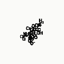 CCCCC(CCCC)(C(=O)O)C(SCC(NC(=O)CCC(N)C(=O)[O-])C(=O)NCC(=O)[O-])C(=O)O.[Ca+2]